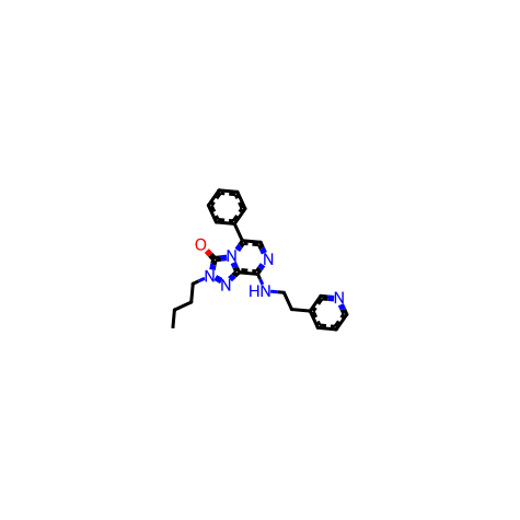 CCCCn1nc2c(NCCc3cccnc3)ncc(-c3ccccc3)n2c1=O